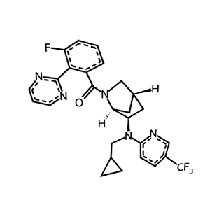 O=C(c1cccc(F)c1-c1ncccn1)N1C[C@@H]2C[C@@H](N(CC3CC3)c3ccc(C(F)(F)F)cn3)[C@@H]1C2